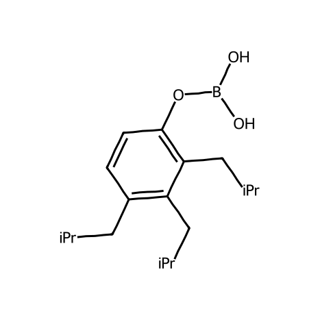 CC(C)Cc1ccc(OB(O)O)c(CC(C)C)c1CC(C)C